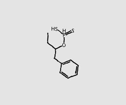 CCC(Cc1ccccc1)O[PH](=S)S